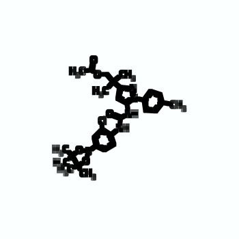 CC(=O)OCC(C)(C)c1cc(NC(=O)Nc2ccc(B3OC(C)(C)C(C)(C)O3)cc2Cl)n(-c2ccc(C)cc2)n1